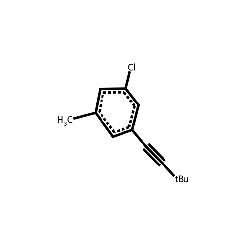 Cc1cc(Cl)cc(C#CC(C)(C)C)c1